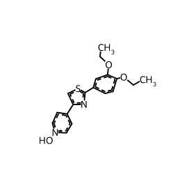 CCOc1ccc(-c2nc(-c3cc[n+](O)cc3)cs2)cc1OCC